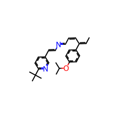 C\C=C(/C=C\C=N\C=C\c1ccc(C(C)(C)C)nc1)c1ccc(OC(C)C)cc1